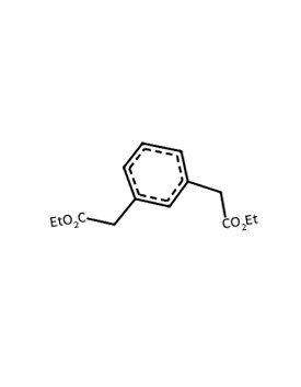 CCOC(=O)Cc1cccc(CC(=O)OCC)c1